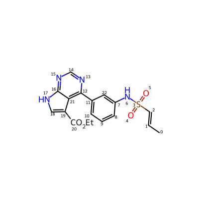 CC=CS(=O)(=O)Nc1cccc(-c2ncnc3[nH]cc(C(=O)OCC)c23)c1